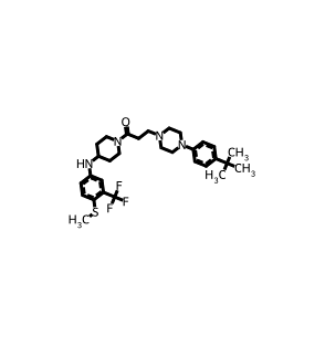 CSc1ccc(NC2CCN(C(=O)CCN3CCN(c4ccc(C(C)(C)C)cc4)CC3)CC2)cc1C(F)(F)F